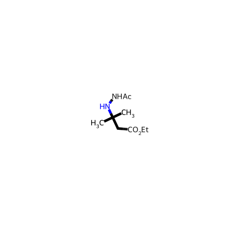 CCOC(=O)CC(C)(C)NNC(C)=O